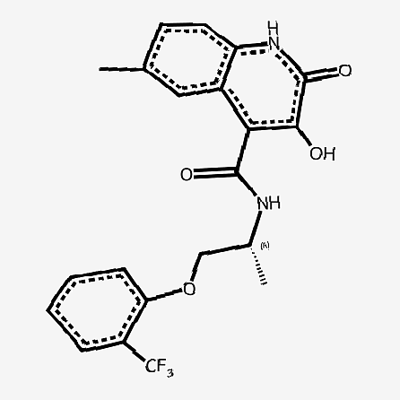 Cc1ccc2[nH]c(=O)c(O)c(C(=O)N[C@H](C)COc3ccccc3C(F)(F)F)c2c1